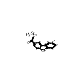 COC(=O)c1ccc2sc3ccccc3c2c1